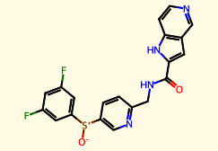 O=C(NCc1ccc([S+]([O-])c2cc(F)cc(F)c2)cn1)c1cc2cnccc2[nH]1